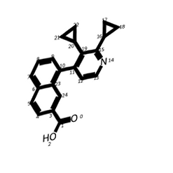 O=C(O)c1ccc2cccc(-c3ccnc(C4CC4)c3C3CC3)c2c1